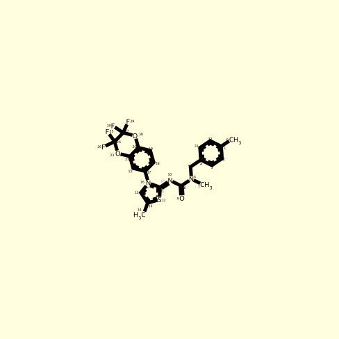 Cc1ccc(CN(C)C(=O)/N=c2\sc(C)cn2-c2ccc3c(c2)OC(F)(F)C(F)(F)O3)cc1